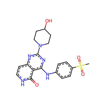 CS(=O)(=O)c1ccc(Nc2nc(N3CCC(O)CC3)nc3cc[nH]c(=O)c23)cc1